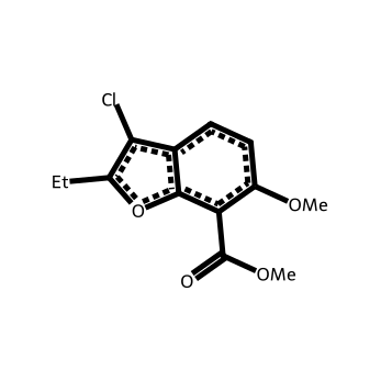 CCc1oc2c(C(=O)OC)c(OC)ccc2c1Cl